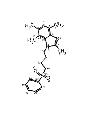 Cc1nc(N)c2nc(C)n(CCCCS(=O)(=O)c3ccccc3)c2c1C